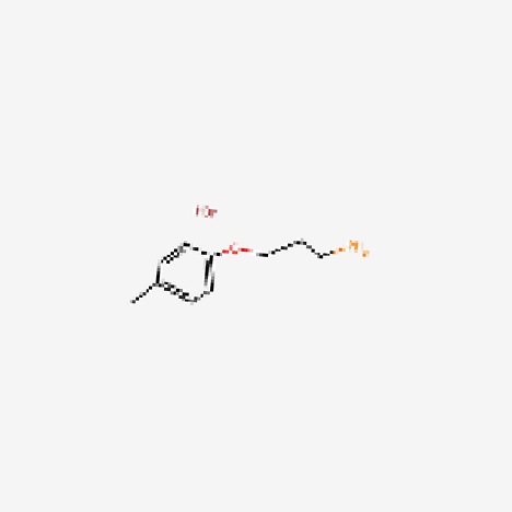 Br.Cc1ccc(OCCCP)cc1